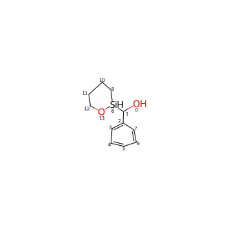 OC(c1ccccc1)[SiH]1CCCCO1